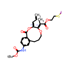 C=C/C=C1/OC(=O)c2ccc(NC(=O)OC(C)(C)C)cc2CCCO/C1=C(/C)C(=O)OCCSI